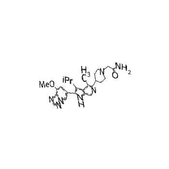 COc1cc(-c2[nH]c3cnc(C4CCN(CC(N)=O)CC4)c(C)c3c2C(C)C)cn2ncnc12